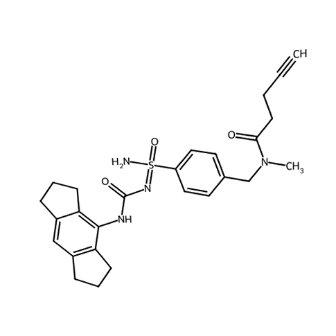 C#CCCC(=O)N(C)Cc1ccc(S(N)(=O)=NC(=O)Nc2c3c(cc4c2CCC4)CCC3)cc1